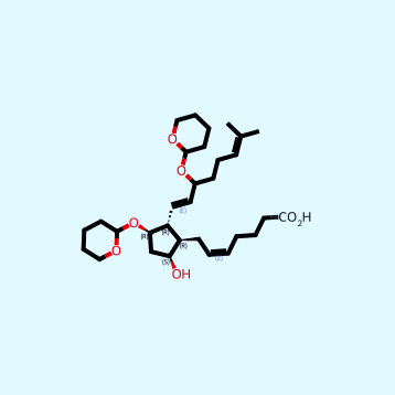 CC(C)=CCCC(/C=C/[C@@H]1[C@@H](C/C=C\CCCC(=O)O)[C@@H](O)C[C@H]1OC1CCCCO1)OC1CCCCO1